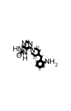 Nc1ccccc1CC1CCN(c2ncnc3[nH]c(=O)[nH]c23)CC1